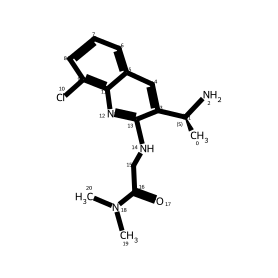 C[C@H](N)c1cc2cccc(Cl)c2nc1NCC(=O)N(C)C